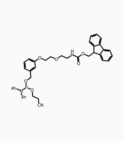 CC(C)N(C(C)C)P(OCCC#N)OCc1cccc(OCCOCCNC(=O)OCC2c3ccccc3-c3ccccc32)c1